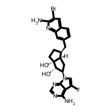 Nc1nc2cc(C[C@@H]3CC[C@@]4(O)[C@@H]3C[C@@H](n3cc(F)c5c(N)ncnc53)[C@@H]4O)ccc2cc1Br